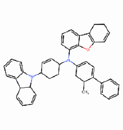 CC1CC(N(c2cccc3c4c(oc23)C=CCC4)C2C=CC(N3c4ccccc4C4C=CC=CC43)CC2)=CC=C1c1ccccc1